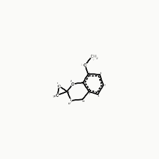 COc1cccc2c1OC1(OO1)SC2